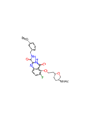 COc1cccc(CNC(=O)c2nc3ccc(F)c(OCCC4CCC(NC(C)=O)CO4)c3c(=O)[nH]2)c1